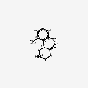 O=C1CCNCN1c1c(Cl)cccc1Cl